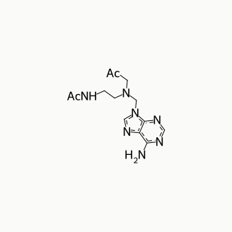 CC(=O)CN(CCNC(C)=O)Cn1cnc2c(N)ncnc21